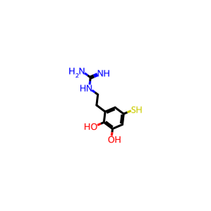 N=C(N)NCCc1cc(S)cc(O)c1O